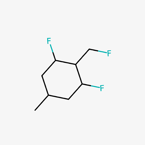 CC1CC(F)C(CF)C(F)C1